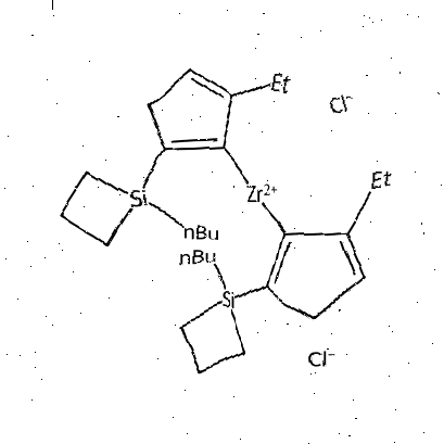 CCCC[Si]1(C2=[C]([Zr+2][C]3=C([Si]4(CCCC)CCC4)CC=C3CC)C(CC)=CC2)CCC1.[Cl-].[Cl-]